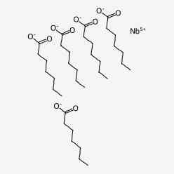 CCCCCCC(=O)[O-].CCCCCCC(=O)[O-].CCCCCCC(=O)[O-].CCCCCCC(=O)[O-].CCCCCCC(=O)[O-].[Nb+5]